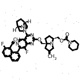 C#Cc1c(F)ccc2cccc(-c3ncc4c(N5C[C@H]6CC[C@@H](C5)N6)nc(OC[C@@]56CC[C@@H](COC(=O)N7CCCCC7)N5CC(=C)C6)nc4c3F)c12